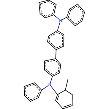 CC1CC=CC=C1N(c1ccccc1)c1ccc(-c2ccc(N(c3ccccc3)c3ccccc3)cc2)cc1